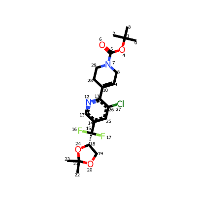 CC(C)(C)OC(=O)N1CC=C(c2ncc(C(F)(F)[C@@H]3COC(C)(C)O3)cc2Cl)CC1